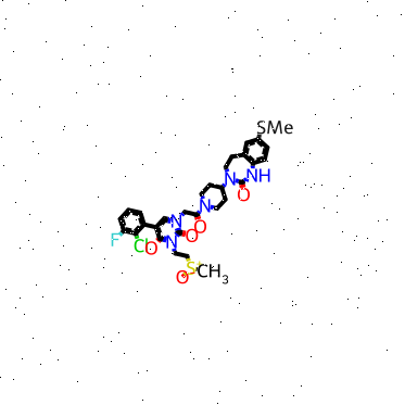 CSc1ccc2c(c1)CCN(C1CCN(C(=O)Cn3cc(-c4cccc(F)c4Cl)c(=O)n(CC[S+](C)[O-])c3=O)CC1)C(=O)N2